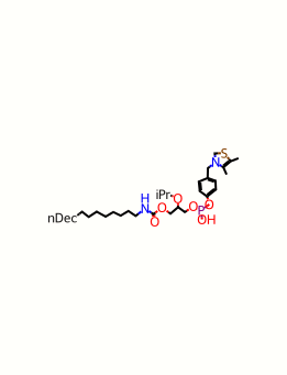 CCCCCCCCCCCCCCCCCCNC(=O)OCC(COP(O)Oc1ccc(CN2CSC(C)=C2C)cc1)OC(C)C